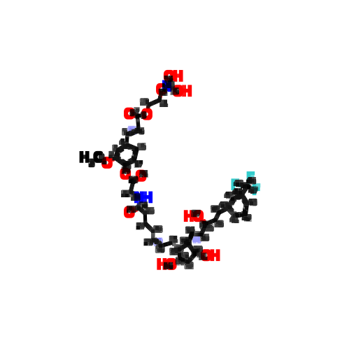 COc1cc(/C=C/C(=O)OCCON(O)O)ccc1OC(=O)CNC(=O)CCC/C=C\C[C@@H]1[C@@H](/C=C/[C@@H](O)CCc2cccc(C(F)(F)F)c2)[C@H](O)C[C@@H]1O